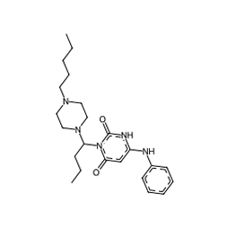 CCCCCN1CCN(C(CCC)n2c(=O)cc(Nc3ccccc3)[nH]c2=O)CC1